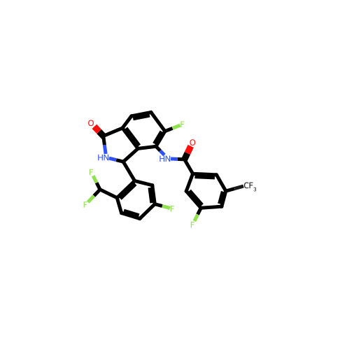 O=C(Nc1c(F)ccc2c1C(c1cc(F)ccc1C(F)F)NC2=O)c1cc(F)cc(C(F)(F)F)c1